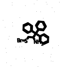 NC(CSBr)C(c1ccccc1)(c1ccccc1)c1ccccc1